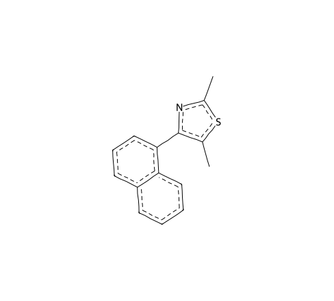 Cc1nc(-c2cccc3ccccc23)c(C)s1